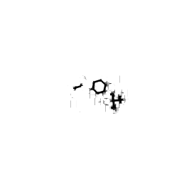 C=C(C)C(=O)OC1CCC(C)(OC(C)(C)C(O)(C(F)(F)F)C(F)(F)F)CC1